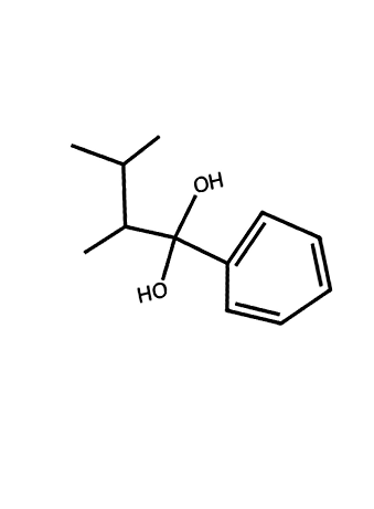 CC(C)C(C)C(O)(O)c1ccccc1